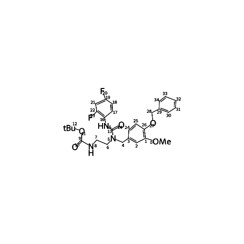 COc1cc(CN(CCNC(=O)OC(C)(C)C)C(=O)Nc2ccc(F)cc2F)ccc1OCc1ccccc1